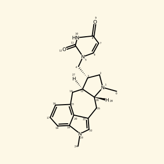 CN1C[C@@H](Cn2ccc(=O)[nH]c2=O)[C@@H]2Cc3cccc4c3c(cn4C)C[C@H]21